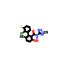 N#C/N=C(\N)NC(=O)c1c(O)ccc(C#N)c1-c1cccc(F)c1Cl